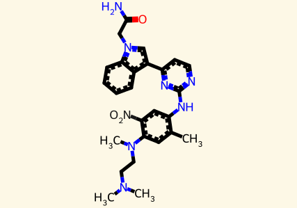 Cc1cc(N(C)CCN(C)C)c([N+](=O)[O-])cc1Nc1nccc(-c2cn(CC(N)=O)c3ccccc23)n1